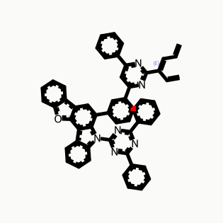 C=C/C=C(\C=C)c1nc(-c2ccccc2)cc(-c2cccc(-c3cc4c5ccccc5oc4c4c5ccccc5n(-c5nc(-c6ccccc6)nc(-c6ccccc6)n5)c34)c2)n1